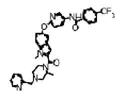 CC1CN(Cc2ccccn2)CCN1C(=O)c1cc2cc(Oc3ccc(NC(=O)c4ccc(C(F)(F)F)cc4)cn3)ccc2n1C